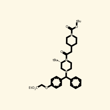 CCOC(=O)COc1ccc(C(c2ccccc2)N2CCN(C(=O)CC3CCN(C(=O)OC(C)(C)C)CC3)[C@@H](C(C)(C)C)C2)cc1